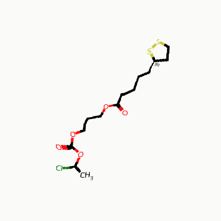 CC(Cl)OC(=O)OCCCOC(=O)CCCC[C@@H]1CCSS1